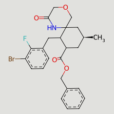 C[C@H]1CC(C(=O)OCc2ccccc2)C(Cc2cccc(Br)c2F)C2(COCC(=O)N2)C1